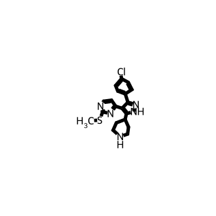 CSc1nccc(-c2c(-c3ccc(Cl)cc3)n[nH]c2C2CCNCC2)n1